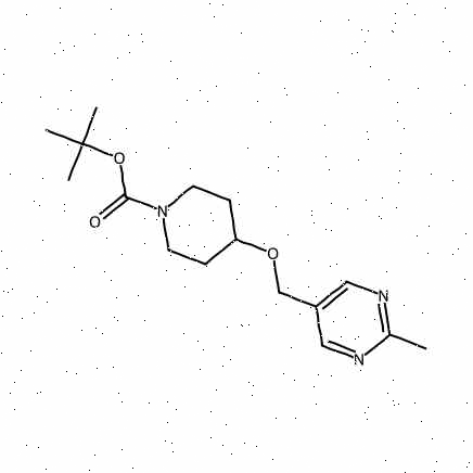 Cc1ncc(COC2CCN(C(=O)OC(C)(C)C)CC2)cn1